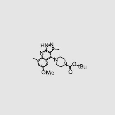 COc1cc(C)c2nc3[nH]nc(C)c3c(N3CCN(C(=O)OC(C)(C)C)CC3)c2c1